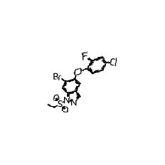 CCS(=O)(=O)n1ncc2cc(Oc3ccc(Cl)cc3F)c(Br)cc21